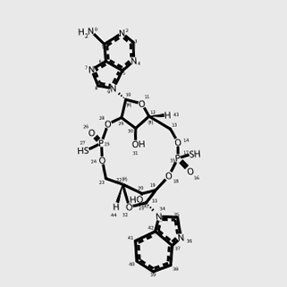 Nc1ncnc2c1ncn2[C@@H]1O[C@@H]2COP(=O)(S)OC3C(O)[C@@H](COP(=O)(S)OC1C2O)O[C@H]3n1cnc2ccccc21